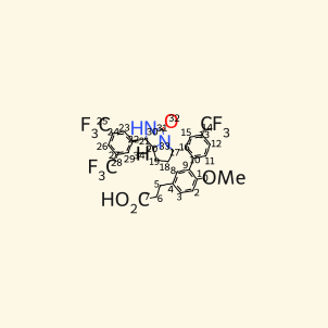 COc1ccc(CCC(=O)O)cc1-c1ccc(C(F)(F)F)cc1[C@@H]1CC[C@H]2[C@@H](c3cc(C(F)(F)F)cc(C(F)(F)F)c3)NC(=O)N12